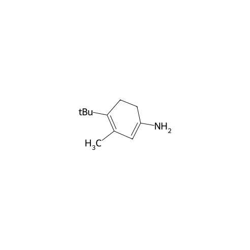 CC1=C(C(C)(C)C)CCC(N)=C1